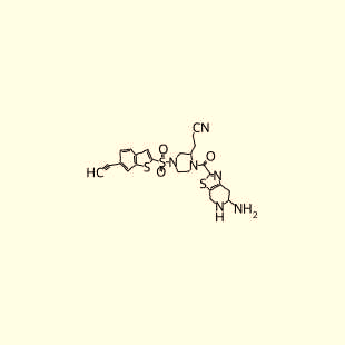 C#Cc1ccc2cc(S(=O)(=O)N3CCN(C(=O)c4nc5c(s4)CNC(N)C5)C(CCC#N)C3)sc2c1